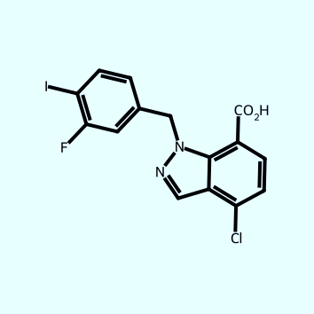 O=C(O)c1ccc(Cl)c2cnn(Cc3ccc(I)c(F)c3)c12